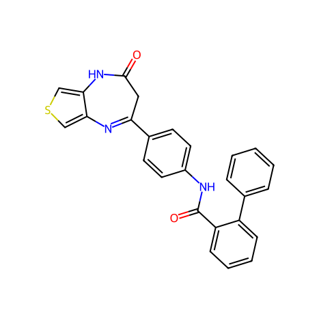 O=C1CC(c2ccc(NC(=O)c3ccccc3-c3ccccc3)cc2)=Nc2cscc2N1